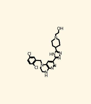 OCCN1CCC(c2nnc(-c3cc4c(nn3)NCCN4Cc3cc(Cl)ccc3Cl)[nH]2)CC1